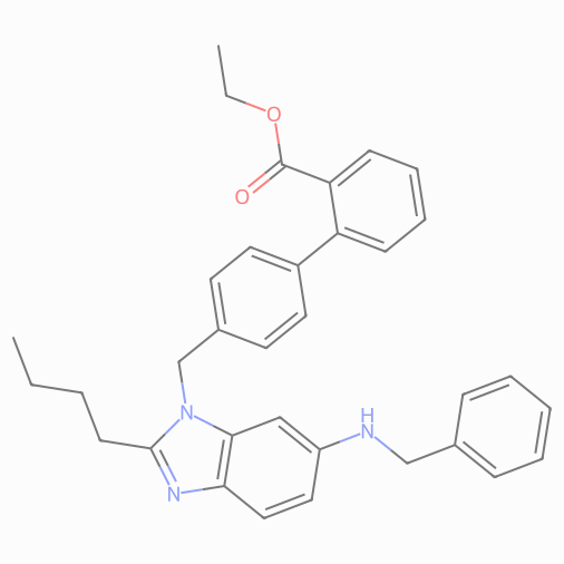 CCCCc1nc2ccc(NCc3ccccc3)cc2n1Cc1ccc(-c2ccccc2C(=O)OCC)cc1